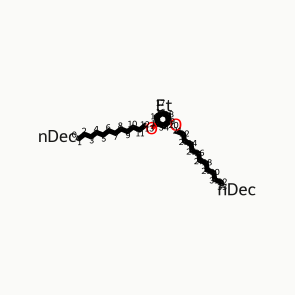 CCCCCCCCCCCCCCCCCCCCCCOc1cc(CC)cc(OCCCCCCCCCCCCCCCCCCCCCC)c1